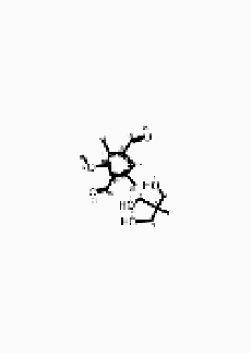 CC(CO)(CO)CO.COc1c(C)c(C=O)cc(C)c1C=O